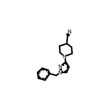 N#CC1CCN(c2ccn(Cc3ccccc3)n2)CC1